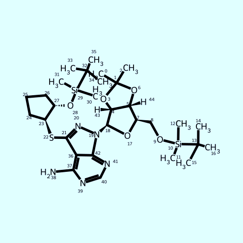 CC1(C)O[C@@H]2[C@H](O1)[C@@H](CO[Si](C)(C)C(C)(C)C)O[C@H]2n1nc(S[C@H]2CCC[C@@H]2O[Si](C)(C)C(C)(C)C)c2c(N)ncnc21